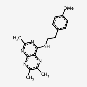 COc1ccc(CCNc2nc(C)nc3nc(C)c(C)nc23)cc1